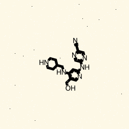 N#Cc1cnc(Nc2cc(NCC3CCNCC3)c(CO)cn2)cn1